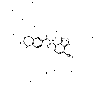 Cc1ccc(S(=O)(=O)Nc2ccc3c(c2)CCNC3)c2nsnc12